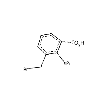 CCCc1c(CBr)cccc1C(=O)O